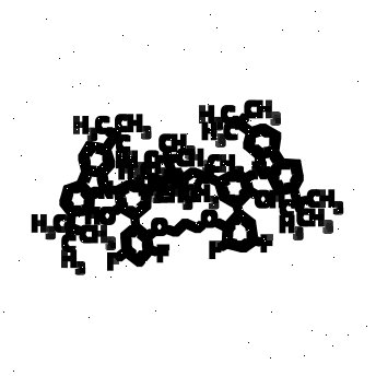 CC(C)(C)CC(C)(C)c1cc(-c2cc(F)cc(F)c2OCCCOc2c(F)cc(F)cc2-c2cc(C(C)(C)CC(C)(C)C)cc(-n3c4cc(C(C)(C)C)ccc4c4ccc(C(C)(C)C)cc43)c2O)c(O)c(-n2c3cc(C(C)(C)C)ccc3c3ccc(C(C)(C)C)cc32)c1